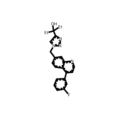 CCC(O)(CC)c1cn(Cc2ccc3c(-c4cccc(F)c4)ccnc3c2)nn1